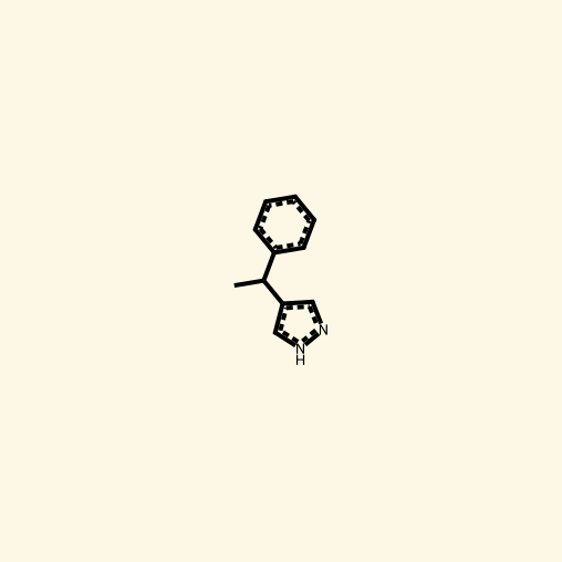 CC(c1ccccc1)c1cn[nH]c1